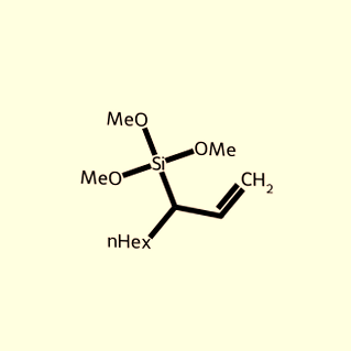 C=CC(CCCCCC)[Si](OC)(OC)OC